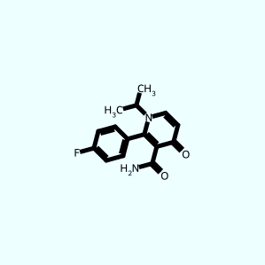 CC(C)n1ccc(=O)c(C(N)=O)c1-c1ccc(F)cc1